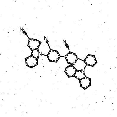 N#Cc1ccc2c(c1)c1ccccc1n2-c1ccc(-c2ccc(-c3ccccc3-n3c4ccccc4c4ccccc43)cc2C#N)cc1C#N